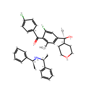 CC[C@@](O)(c1cc(F)c(C(=O)c2ccc(Cl)cc2)c(C(=O)O)c1)C1CCOCC1.C[C@H](N[C@@H](C)c1ccccc1)c1ccccc1